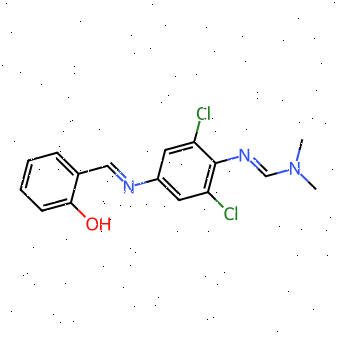 CN(C)C=Nc1c(Cl)cc(N=Cc2ccccc2O)cc1Cl